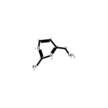 CC(C)c1nccc(CN)n1